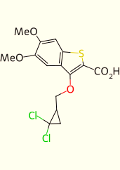 COc1cc2sc(C(=O)O)c(OCC3CC3(Cl)Cl)c2cc1OC